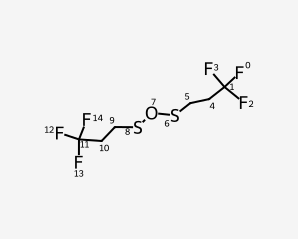 FC(F)(F)CCSOSCCC(F)(F)F